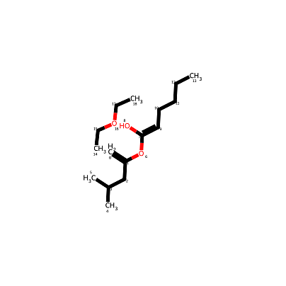 C=C(CC(C)C)O/C(O)=C/CCCC.CCOCC